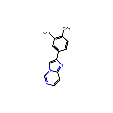 COc1ccc(-c2cn3cnccc3n2)cc1OC